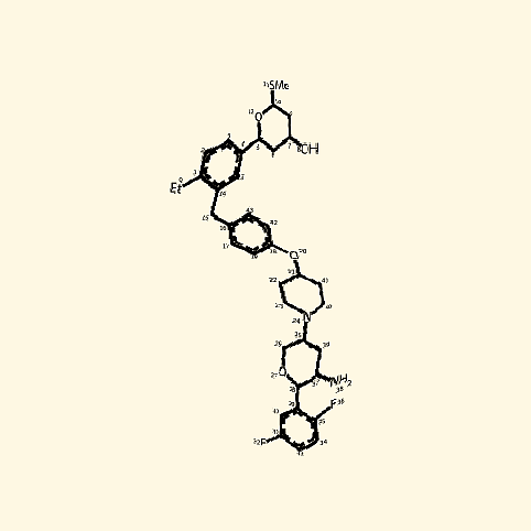 CCc1ccc(C2CC(O)CC(SC)O2)cc1Cc1ccc(OC2CCN(C3COC(c4cc(F)ccc4F)C(N)C3)CC2)cc1